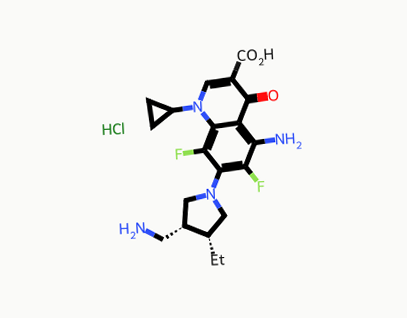 CC[C@H]1CN(c2c(F)c(N)c3c(=O)c(C(=O)O)cn(C4CC4)c3c2F)C[C@H]1CN.Cl